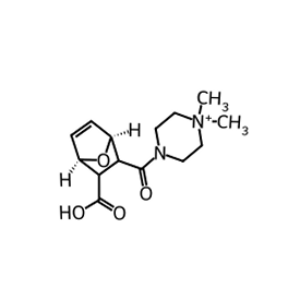 C[N+]1(C)CCN(C(=O)C2C(C(=O)O)[C@H]3C=C[C@@H]2O3)CC1